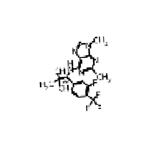 Cc1nc(N[C@@H](c2ccc(C(F)(F)F)c(F)c2)C(C)(C)C)c2ncn(C)c2n1